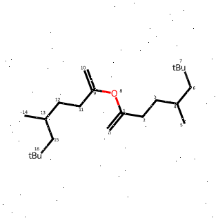 C=C(CCC(C)CC(C)(C)C)OC(=C)CCC(C)CC(C)(C)C